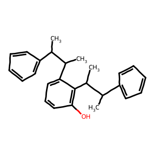 CC(c1ccccc1)C(C)c1cccc(O)c1C(C)C(C)c1ccccc1